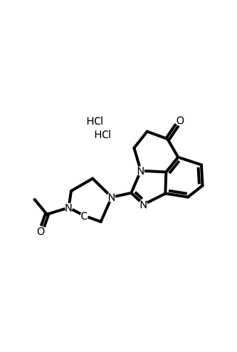 CC(=O)N1CCN(c2nc3cccc4c3n2CCC4=O)CC1.Cl.Cl